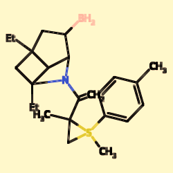 BC1CC2(CC)CC3(CC)C2C1N3C(=C)C1(C)CS1(C)c1ccc(C)cc1